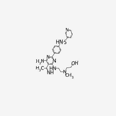 CC(=N)c1c(N)nc(-c2ccc(NSc3cccnc3)cc2)nc1NCCN(C)CCO